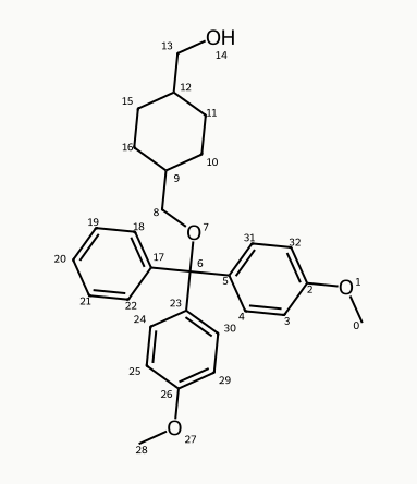 COc1ccc(C(OCC2CCC(CO)CC2)(c2ccccc2)c2ccc(OC)cc2)cc1